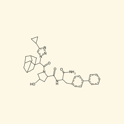 NC(=O)C(Cc1ccc(-c2ccccc2)cc1)NC(=O)C1CC(O)CN1C(=O)C(n1cc(C2CC2)nn1)C12CC3CC(CC(C3)C1)C2